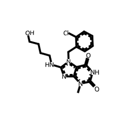 Cn1c(=O)[nH]c(=O)c2c1nc(NCCCCO)n2Cc1ccccc1Cl